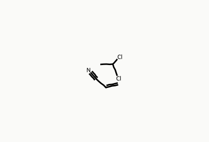 C=CC#N.CC(Cl)Cl